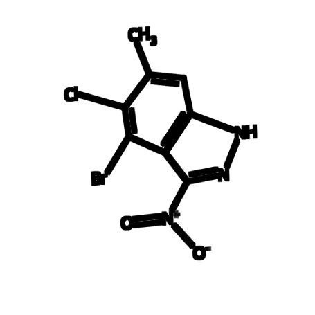 Cc1cc2[nH]nc([N+](=O)[O-])c2c(Br)c1Cl